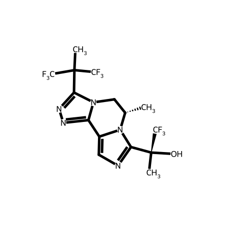 C[C@H]1Cn2c(nnc2C(C)(C(F)(F)F)C(F)(F)F)-c2cnc([C@@](C)(O)C(F)(F)F)n21